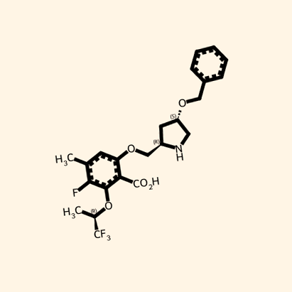 Cc1cc(OC[C@H]2C[C@H](OCc3ccccc3)CN2)c(C(=O)O)c(O[C@H](C)C(F)(F)F)c1F